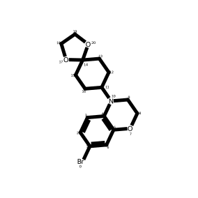 Brc1ccc2c(c1)OCCN2C1CCC2(CC1)OCCO2